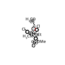 CCOc1cc(OC)c(S(=O)(=O)N2CCCC2)cc1/C(=N/C(C)(C)c1ccc(Cl)cc1)N(Cc1ccc(Cl)cc1)C(=O)N1CCN(CCCS(C)(=O)=O)CC1